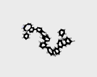 C1=CC2C(C=C1c1ccc3sc4ccc(-c5cccc(C6C=Cc7sc8ccc(-c9ccc%10c(c9)Cc9ccccc9N%10c9ccccc9)cc8c7C6)c5)cc4c3c1)C/C=C\C=C/CN2c1ccccc1